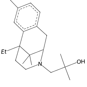 CCC12CCN(CC(C)(C)O)C(Cc3ccc(C)cc31)C2(C)C